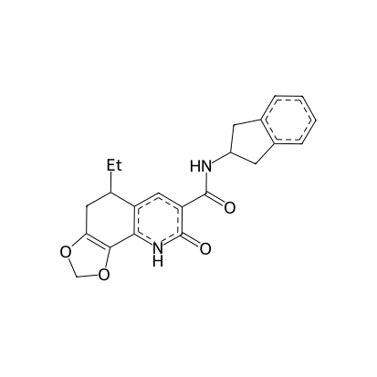 CCC1CC2=C(OCO2)c2[nH]c(=O)c(C(=O)NC3Cc4ccccc4C3)cc21